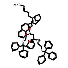 CON=CCCC1C(c2ccc3ccccc3c2)CC2CCC1N2CCCN(CCSC(c1ccccc1)(c1ccccc1)c1ccccc1)CC(=O)NCCSC(c1ccccc1)(c1ccccc1)c1ccccc1